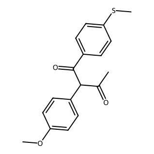 COc1ccc(C(C(C)=O)C(=O)c2ccc(SC)cc2)cc1